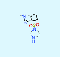 C=N/C=C\c1c(C)cccc1S(=O)(=O)N1CCCNCC1